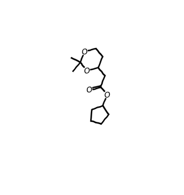 CC1(C)OCCC(CC(=O)OC2CCCC2)O1